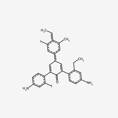 CC=c1c(C)c/c(=C2/C=C(c3ccc(N)cc3I)C(=O)C(c3ccc(N)cc3CC)=C2)cc1I